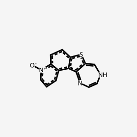 [O-][n+]1cccc2c3c4c(sc3ccc21)=CNC=CN=4